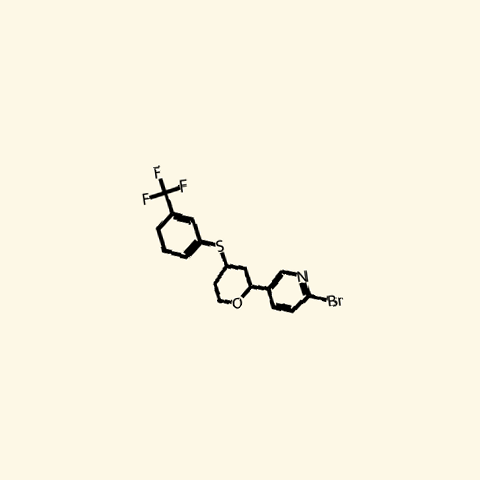 FC(F)(F)C1=CC(SC2CCOC(c3ccc(Br)nc3)C2)=CCC1